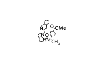 COC(=O)c1ccc([C@H](C)NC(=O)c2cccc3ccn(Cc4cc5ccccc5cn4)c23)cc1